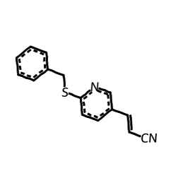 N#C/C=C/c1ccc(SCc2ccccc2)nc1